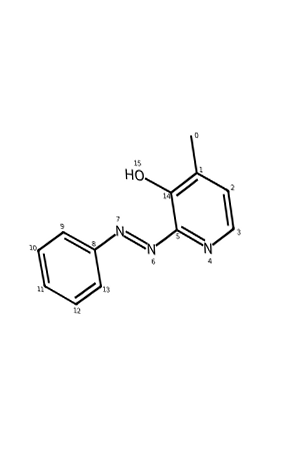 Cc1ccnc(N=Nc2ccccc2)c1O